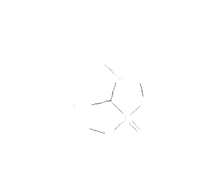 CCOP(=O)(OCC)C(C)NC=O